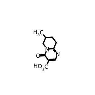 CC1CCc2ncc(C(=O)O)c(=O)n2C1